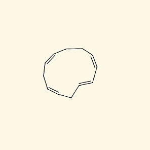 [CH]1/C=C\C/C=C\CC/C=C\C=C\1